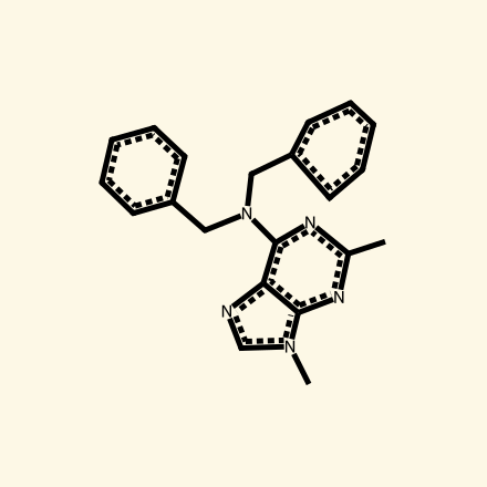 Cc1nc(N(Cc2ccccc2)Cc2ccccc2)c2ncn(C)c2n1